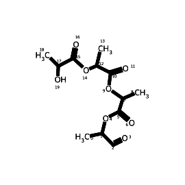 CC(C=O)OC(=O)C(C)OC(=O)C(C)OC(=O)C(C)O